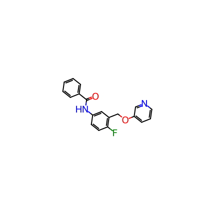 O=C(Nc1ccc(F)c(COc2cccnc2)c1)c1ccccc1